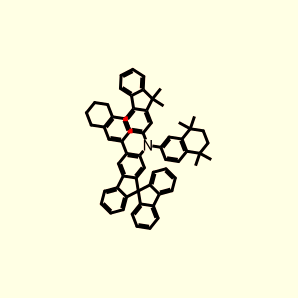 CC1(C)CCC(C)(C)c2cc(N(c3ccc4c(c3)C(C)(C)c3ccccc3-4)c3cc4c(cc3-c3ccc5c(c3)CCCC5)-c3ccccc3C43c4ccccc4-c4ccccc43)ccc21